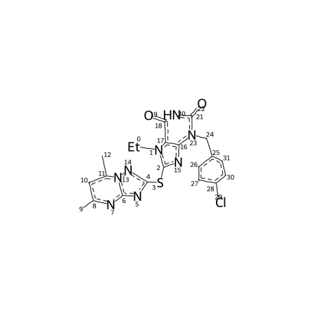 CCn1c(Sc2nc3nc(C)cc(C)n3n2)nc2c1c(=O)[nH]c(=O)n2Cc1ccc(Cl)cc1